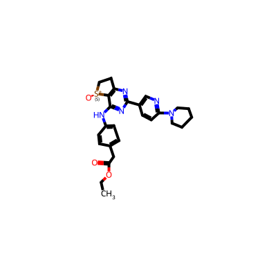 CCOC(=O)Cc1ccc(Nc2nc(-c3ccc(N4CCCCC4)nc3)nc3c2[S@+]([O-])CC3)cc1